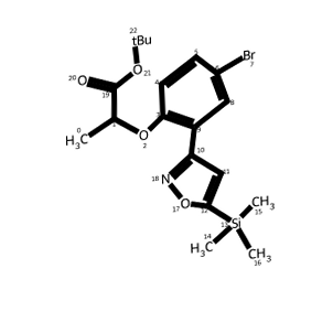 CC(Oc1ccc(Br)cc1-c1cc([Si](C)(C)C)on1)C(=O)OC(C)(C)C